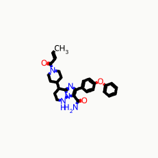 CC=CC(=O)N1CCC(C2CCNn3c2nc(-c2ccc(Oc4ccccc4)cc2)c3C(N)=O)CC1